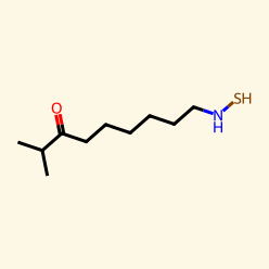 CC(C)C(=O)CCCCCCNS